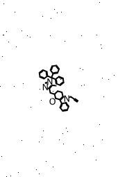 C#CCn1c2c(c3ccccc31)C(=O)C(Cc1ncn(C(c3ccccc3)(c3ccccc3)c3ccccc3)c1C)CC2